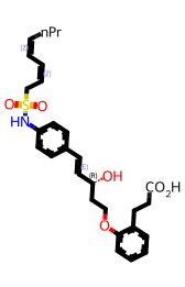 CCC/C=C\C=C/CS(=O)(=O)Nc1ccc(/C=C/[C@H](O)CCOc2ccccc2CCC(=O)O)cc1